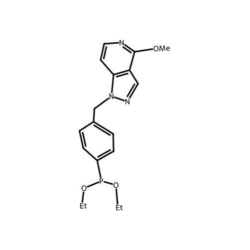 CCOP(OCC)c1ccc(Cn2ncc3c(OC)nccc32)cc1